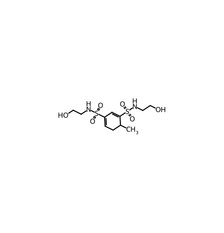 CC1CC=C(S(=O)(=O)NCCO)C=C1S(=O)(=O)NCCO